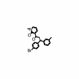 Cc1cccc([C@H](CC(=O)c2cccn(C)c2=O)c2ccc(Br)cc2)c1